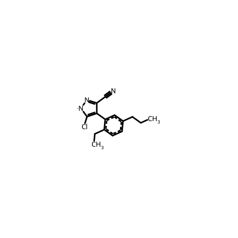 CCCc1ccc(CC)c(C2=C(Cl)[N]N=C2C#N)c1